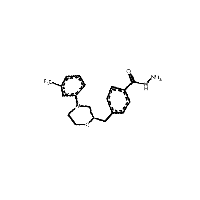 NNC(=O)c1ccc(CC2CN(c3cccc(C(F)(F)F)c3)CCO2)cc1